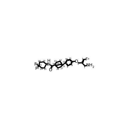 NCC(=CF)COc1ccc(C23CCC(C(=O)NC4CCC(F)(F)CC4)(CC2)CC3)cc1